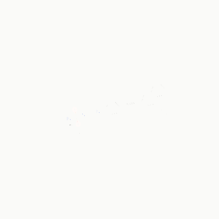 C[C@@H](NS(=O)(=O)N1CCN(c2ccc(C#Cc3cc(C(=O)O)c4ccccc4c3)cc2)CC1)C(=O)O